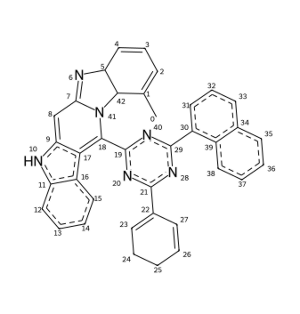 CC1=CC=CC2N=C3C=c4[nH]c5ccccc5c4=C(c4nc(C5=CCCC=C5)nc(-c5cccc6ccccc56)n4)N3C12